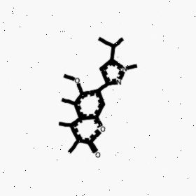 COc1c(-c2cc(C(C)C)n(C)n2)cc2oc(=O)c(C)c(C)c2c1C